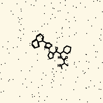 CN[C@H](C)C(=O)NC(C(=O)N1CCC[C@@H]1c1nc(-c2cccc3ccccc23)cs1)C1CCCCC1